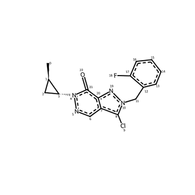 C[C@@H]1C[C@H]1n1ncc2c(Cl)n(Cc3ccccc3F)nc2c1=O